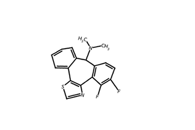 CN(C)C1c2ccccc2-c2scnc2-c2c1ccc(F)c2F